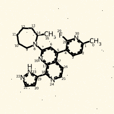 Cc1ccc(-c2cc(N3CCCCC[C@H]3C)nc3c(-c4ccn[nH]4)nccc23)c(F)n1